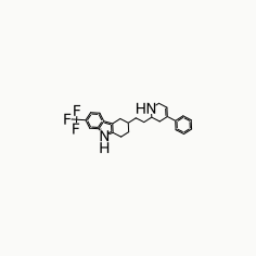 FC(F)(F)c1ccc2c3c([nH]c2c1)CCC(CCC1CC(c2ccccc2)=CCN1)C3